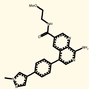 COCCNC(=O)c1cnc2c(N)ncc(-c3ccc(-c4cnn(C)c4)cc3)c2c1